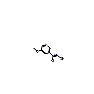 COc1cncc(/C(Cl)=N/O)c1